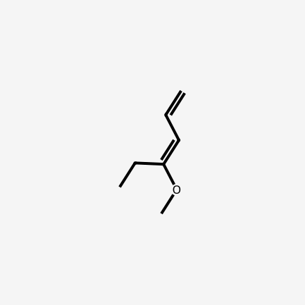 C=C/C=C(\CC)OC